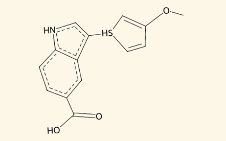 COC1=C[SH](c2c[nH]c3ccc(C(=O)O)cc23)C=C1